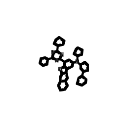 c1ccc(-c2cccc(N(c3ccccc3)c3cc(-c4nc(-c5ccccc5)nc(-c5ccccc5)n4)c4oc5cc6ccccc6cc5c4c3)c2)cc1